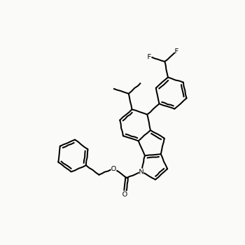 CC(C)C1=CC=C2C(=Cc3ccn(C(=O)OCc4ccccc4)c32)C1c1cccc(C(F)F)c1